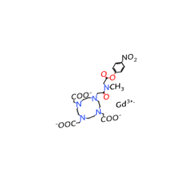 CN(CC(=O)Oc1ccc([N+](=O)[O-])cc1)C(=O)CN1CCN(CC(=O)[O-])CCN(CC(=O)[O-])CCN(CC(=O)[O-])CC1.[Gd+3]